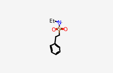 CC[N]S(=O)(=O)CCc1ccccc1